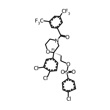 O=C(c1cc(C(F)(F)F)cc(C(F)(F)F)c1)N1CCO[C@](CCOS(=O)(=O)c2ccc(Cl)cc2)(c2ccc(Cl)c(Cl)c2)C1